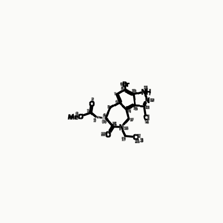 COC(=O)C[C@@H]1Cc2cc(Br)c3[nH]nc(Cl)c3c2CN(CC(F)(F)F)C1=O